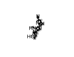 CCNc1cc(-n2cnc3cc(C#N)cnc32)ncc1-c1cn(CC(C)O)nn1